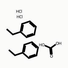 CCc1ccccc1.CCc1ccccc1.Cl.Cl.O=C(O)O